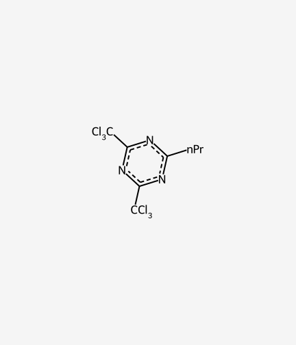 CCCc1nc(C(Cl)(Cl)Cl)nc(C(Cl)(Cl)Cl)n1